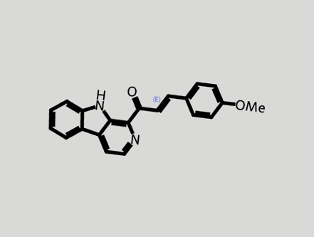 COc1ccc(/C=C/C(=O)c2nccc3c2[nH]c2ccccc23)cc1